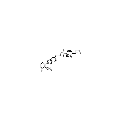 C/C=C(C)\C=C/C(C)C(F)(F)CNCc1ccc2c(c1)CN(C1CCCNC1C)C2